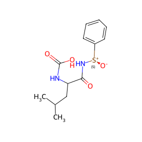 CC(C)CC(NC(=O)O)C(=O)N[S@+]([O-])c1ccccc1